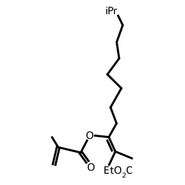 C=C(C)C(=O)OC(CCCCCCCC(C)C)=C(C)C(=O)OCC